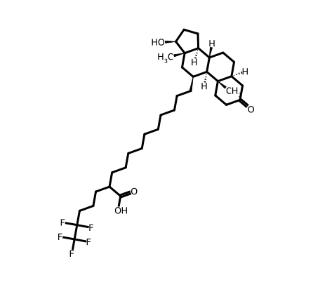 C[C@]12CCC(=O)C[C@@H]1CC[C@@H]1[C@@H]2[C@@H](CCCCCCCCCCC(CCCC(F)(F)C(F)(F)F)C(=O)O)C[C@]2(C)[C@@H](O)CC[C@@H]12